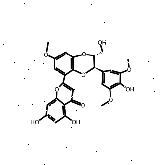 COc1cc2c(c(-c3cc(=O)c4c(O)cc(O)cc4o3)c1)O[C@H](c1cc(OC)c(O)c(OC)c1)[C@@H](CO)O2